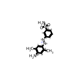 Cc1cc(/N=N/c2cccc(S(N)(=O)=O)c2)c(C)cc1N